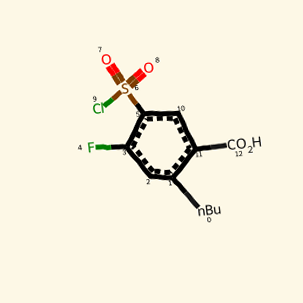 CCCCc1cc(F)c(S(=O)(=O)Cl)cc1C(=O)O